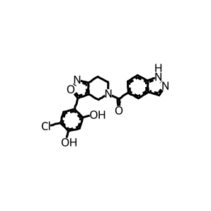 O=C(c1ccc2[nH]ncc2c1)N1CCc2noc(-c3cc(Cl)c(O)cc3O)c2C1